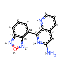 Nc1cc2cccnc2c(-c2cccc3nonc23)n1